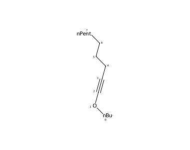 CCC[CH]OC#CCCCCCCCC